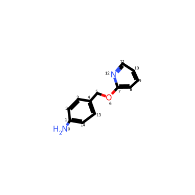 Nc1ccc(COc2ccccn2)cc1